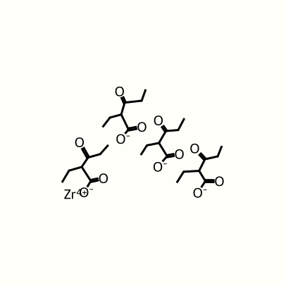 CCC(=O)C(CC)C(=O)[O-].CCC(=O)C(CC)C(=O)[O-].CCC(=O)C(CC)C(=O)[O-].CCC(=O)C(CC)C(=O)[O-].[Zr+4]